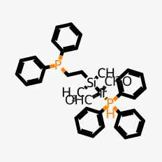 C[Si](C)(CCP(c1ccccc1)c1ccccc1)[Ir]([CH]=O)([CH]=O)[PH](c1ccccc1)(c1ccccc1)c1ccccc1